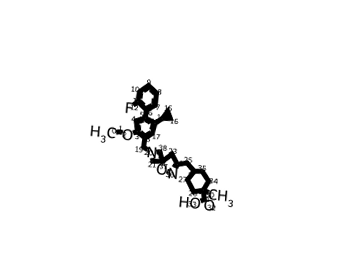 CCOc1cc(-c2ccccc2F)c(C2CC2)cc1CN1CC2(CC(CC3CCC(C)(C(=O)O)CC3)=NO2)C1